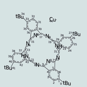 CC(C)(C)c1ccc2c(c1)-c1nc-2nc2[nH]c(nc3nc(nc4[nH]c(n1)c1ccc(C(C)(C)C)cc41)-c1ccc(C(C)(C)C)cc1-3)c1ccc(C(C)(C)C)cc21.[Cu]